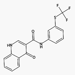 O=C(Nc1cccc(SC(F)(F)F)c1)c1c[nH]c2ccccc2c1=O